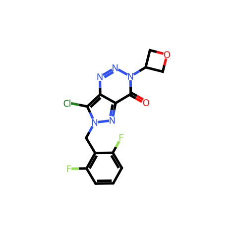 O=c1c2nn(Cc3c(F)cccc3F)c(Cl)c2nnn1C1COC1